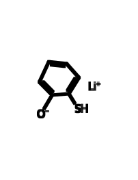 [Li+].[O-]c1ccccc1S